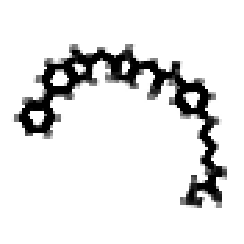 CC(C)(C)OC(=O)NCCCOc1ccc(NC(=O)Cc2nnc(Cc3nc4ccc(-c5ccccc5)cc4s3)o2)cc1